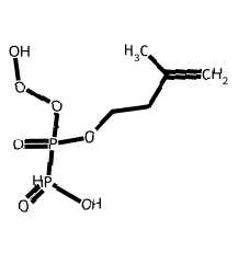 C=C(C)CCOP(=O)(OOO)[PH](=O)O